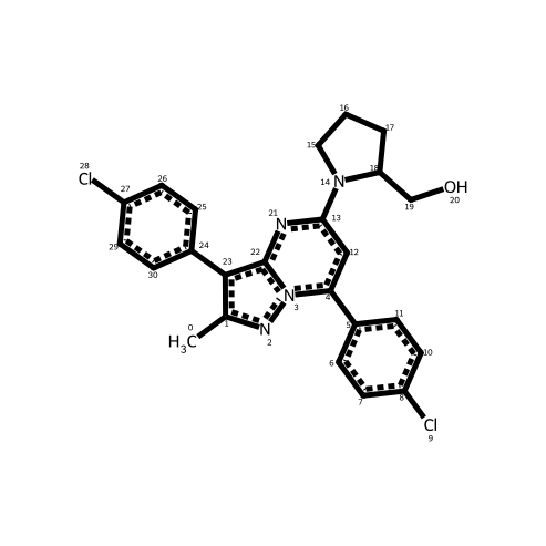 Cc1nn2c(-c3ccc(Cl)cc3)cc(N3CCCC3CO)nc2c1-c1ccc(Cl)cc1